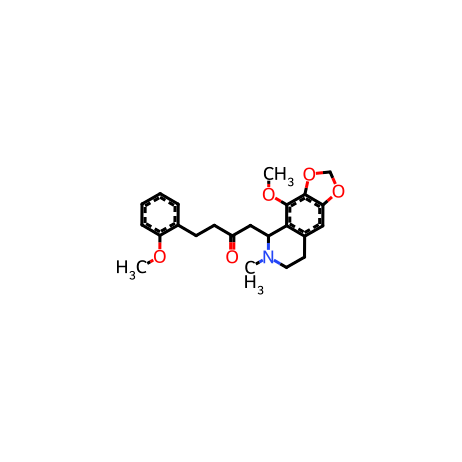 COc1ccccc1CCC(=O)CC1c2c(cc3c(c2OC)OCO3)CCN1C